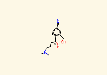 CN(C)CCC[C@@H](O)c1ccc(C#N)cc1CO